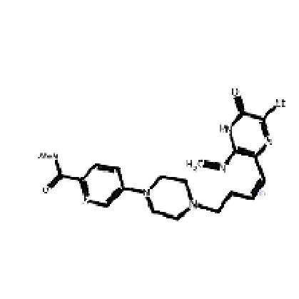 C=Nc1[nH]c(=O)c(CC)nc1/C=C\CCN1CCN(c2ccc(C(=O)NC)nc2)CC1